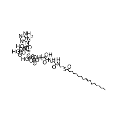 CCCCCCCCC=CCCCCCCCC(=O)SCCNC(=O)CCNC(=O)[C@H](O)C(C)(C)COP(=O)(O)OP(=O)(O)OC[C@H]1O[C@@H](n2cnc3c(N)ncnc32)[C@H](O)[C@@H]1OP(=O)(O)O